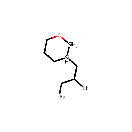 CCC(C)CC(CC)C[SiH]1CCCO[SiH2]1